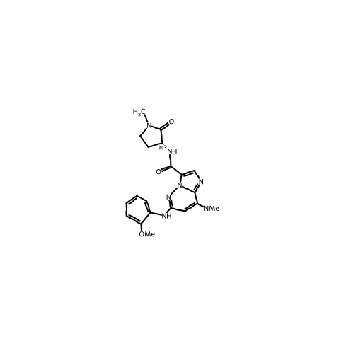 CNc1cc(Nc2ccccc2OC)nn2c(C(=O)N[C@@H]3CCN(C)C3=O)cnc12